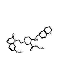 CNOC(=O)C1CN(CCn2c(=O)ccc3ccc(OC)cc32)CCC1NCc1ccc2c(c1)OCCO2